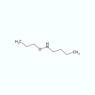 CCCCNOCCC